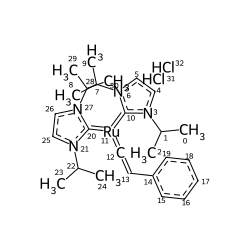 CC(C)n1ccn(C(C)C)[c]1=[Ru](=[C]=Cc1ccccc1)=[c]1n(C(C)C)ccn1C(C)C.Cl.Cl